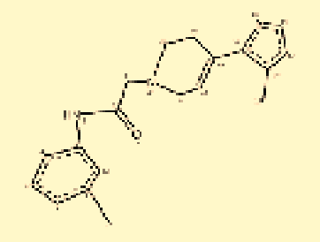 Cc1cccc(NC(=O)CN2CC=C(c3sccc3C)CC2)c1